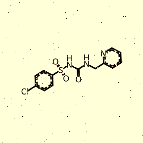 O=C(NCc1ccccn1)NS(=O)(=O)c1ccc(Cl)cc1